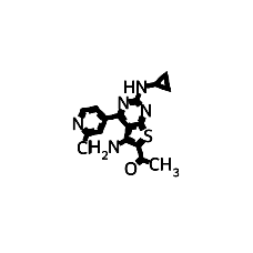 CC(=O)c1sc2nc(NC3CC3)nc(-c3ccnc(Cl)c3)c2c1N